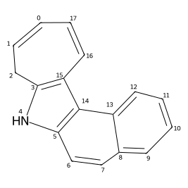 C1=CCc2[nH]c3ccc4ccccc4c3c2C=C1